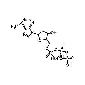 Nc1ncnc2c1ncn2[C@H]1C[C@@H](O)[C@@H](COP(O)(=S)OP(=O)(O)OP(=O)(O)O)O1